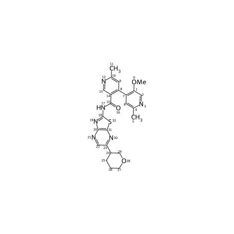 COc1cnc(C)cc1-c1cc(C)ncc1C(=O)Nc1nc2ncc(C3CCCOC3)nc2s1